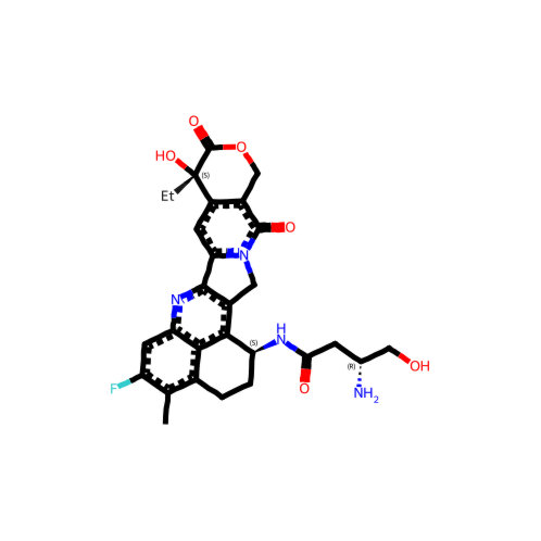 CC[C@@]1(O)C(=O)OCc2c1cc1n(c2=O)Cc2c-1nc1cc(F)c(C)c3c1c2[C@@H](NC(=O)C[C@@H](N)CO)CC3